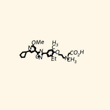 CCc1cc(-c2noc(-c3cc(OC)nc(C4CCCC4)c3)n2)cc(C)c1OCCCN(C)CC(=O)O